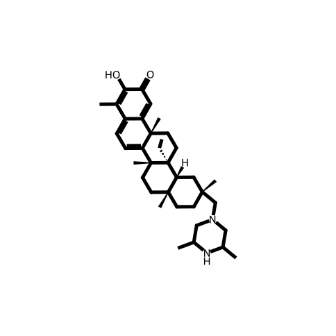 CC[C@@]12CC[C@@]3(C)C4=CC(=O)C(O)=C(C)C4=CC=C3[C@@]1(C)CC[C@@]1(C)CC[C@@](C)(CN3CC(C)NC(C)C3)C[C@H]12